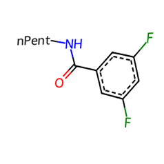 [CH2]CCCCNC(=O)c1cc(F)cc(F)c1